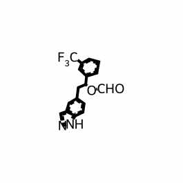 O=COC(Cc1ccc2[nH]ncc2c1)c1cccc(C(F)(F)F)c1